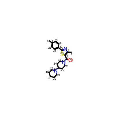 Cc1ccc(-c2nc(C)c(C(=O)N3CCC(N4CCCCC4)CC3)s2)cc1